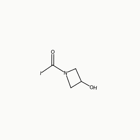 O=C(I)N1CC(O)C1